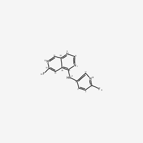 Fc1ccc(Nc2ncnc3cnc(F)cc23)cn1